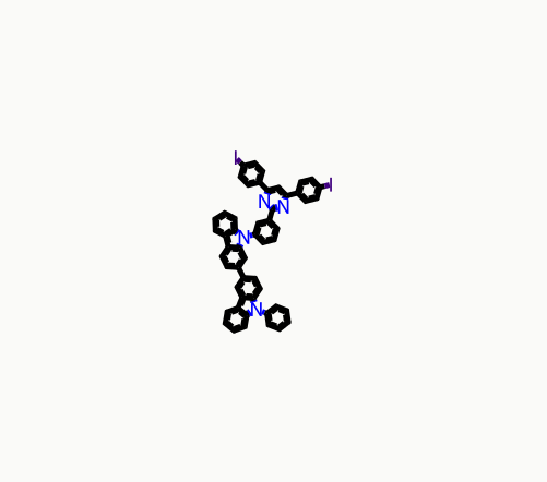 Ic1ccc(-c2cc(-c3ccc(I)cc3)nc(-c3cccc(-n4c5ccccc5c5ccc(-c6ccc7c(c6)c6ccccc6n7-c6ccccc6)cc54)c3)n2)cc1